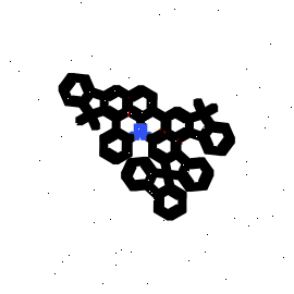 CC1(C)c2ccccc2-c2ccc(-c3ccccc3N(c3ccc4c(c3)C3(c5ccccc5-c5ccccc53)c3ccccc3-4)c3ccccc3-c3cccc4c3C(C)(C)c3ccccc3-4)cc21